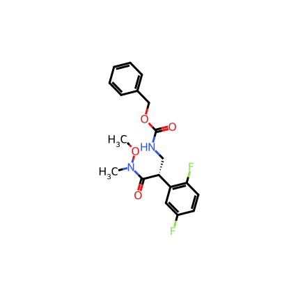 CON(C)C(=O)[C@H](CNC(=O)OCc1ccccc1)c1cc(F)ccc1F